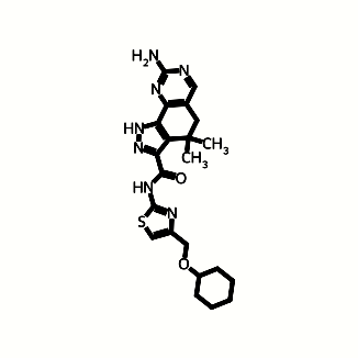 CC1(C)Cc2cnc(N)nc2-c2[nH]nc(C(=O)Nc3nc(COC4CCCCC4)cs3)c21